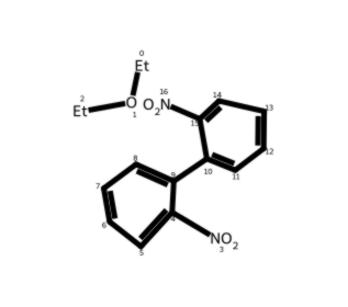 CCOCC.O=[N+]([O-])c1ccccc1-c1ccccc1[N+](=O)[O-]